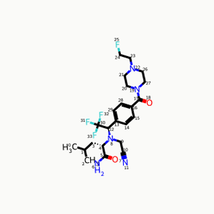 CC(C)C[C@@H](C(N)=O)N(CC#N)[C@H](c1ccc(C(=O)N2CCN(CCF)CC2)cc1)C(F)(F)F